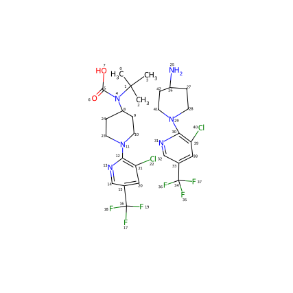 CC(C)(C)N(C(=O)O)C1CCN(c2ncc(C(F)(F)F)cc2Cl)CC1.NC1CCN(c2ncc(C(F)(F)F)cc2Cl)CC1